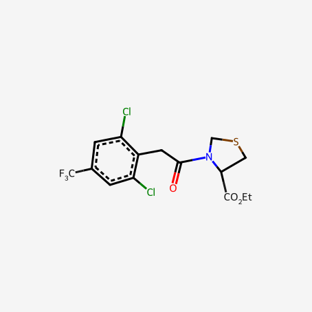 CCOC(=O)C1CSCN1C(=O)Cc1c(Cl)cc(C(F)(F)F)cc1Cl